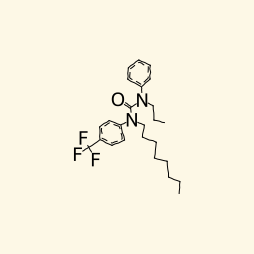 CCCCCCCCN(C(=O)N(CCC)c1ccccc1)c1ccc(C(F)(F)F)cc1